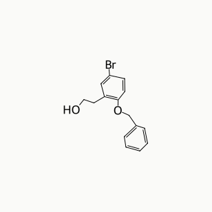 OCCc1cc(Br)ccc1OCc1ccccc1